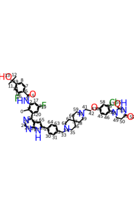 Cc1c(NC(=O)c2ccc(C(C)(C)O)cc2F)cc(F)cc1-c1ncnc2[nH]c(-c3ccc(CN4CCC5(CCN(CCOc6ccc(N7CCC(=O)NC7=O)c(Cl)c6)CC5)CC4)cc3)cc12